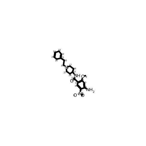 COc1cc(N)c([N+](=O)[O-])cc1C(=O)NC1CCN(CCC2=CCC=CC2)CC1